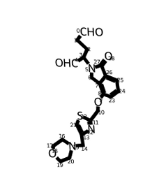 O=CCCC(C=O)N1Cc2c(OCc3nc(CN4CCOCC4)cs3)cccc2C1=O